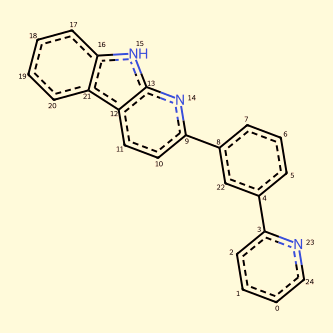 c1ccc(-c2cccc(-c3ccc4c(n3)[nH]c3ccccc34)c2)nc1